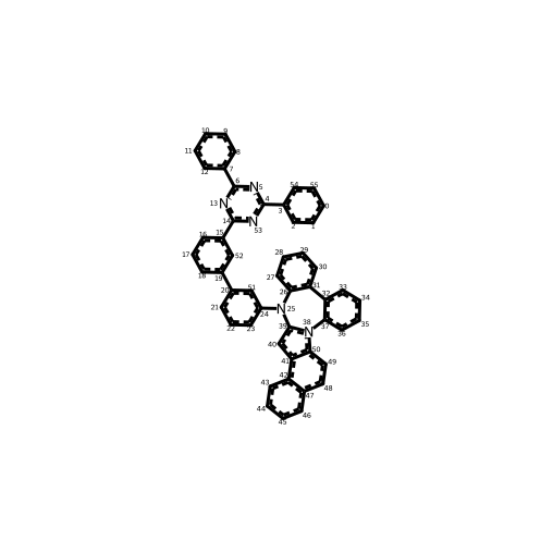 c1ccc(-c2nc(-c3ccccc3)nc(-c3cccc(-c4cccc(N5c6ccccc6-c6ccccc6-n6c5cc5c7ccccc7ccc56)c4)c3)n2)cc1